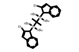 CCC[CH2][Zr]([CH2]CCC)([CH]1C(CC)=Cc2ccccc21)[C](C)(C)[Zr]([CH2]CCC)([CH2]CCC)[CH]1C(CC)=Cc2ccccc21